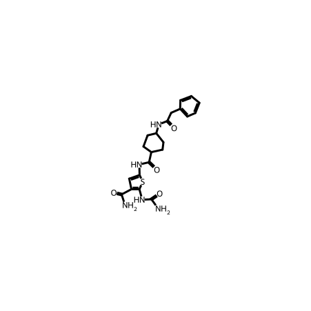 NC(=O)Nc1sc(NC(=O)C2CCC(NC(=O)Cc3ccccc3)CC2)cc1C(N)=O